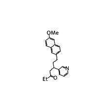 CCC(=O)CC(CCc1ccc2cc(OC)ccc2c1)c1cccnc1